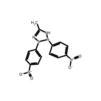 CC1=NN(c2ccc([N+](=O)[O-])cc2)N(c2ccc([N+](=O)[O-])cc2)N1